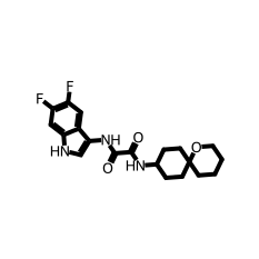 O=C(Nc1c[nH]c2cc(F)c(F)cc12)C(=O)NC1CCC2(CCCCO2)CC1